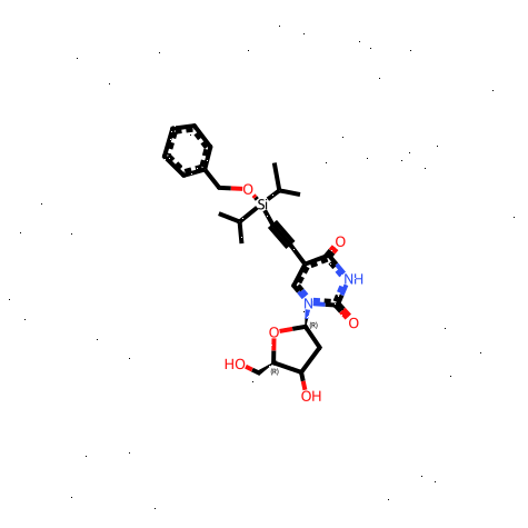 CC(C)[Si](C#Cc1cn([C@H]2CC(O)[C@@H](CO)O2)c(=O)[nH]c1=O)(OCc1ccccc1)C(C)C